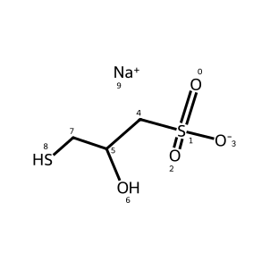 O=S(=O)([O-])CC(O)CS.[Na+]